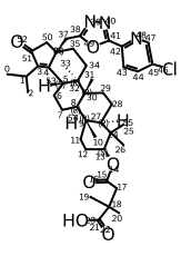 CC(C)C1=C2[C@H]3CC[C@@H]4[C@@]5(C)CC[C@H](OC(=O)CC(C)(C)C(=O)O)C(C)(C)[C@@H]5CC[C@@]4(C)[C@]3(C)CC[C@@]2(Cc2nnc(-c3ccc(Cl)cn3)o2)CC1=O